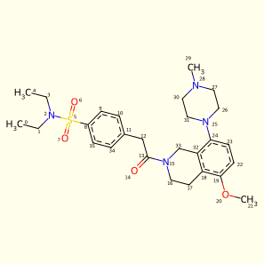 CCN(CC)S(=O)(=O)c1ccc(CC(=O)N2CCc3c(OC)ccc(N4CCN(C)CC4)c3C2)cc1